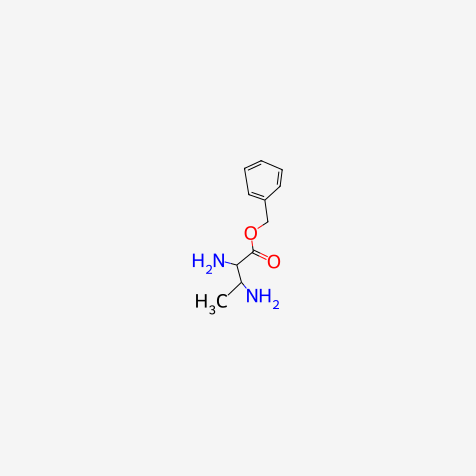 CC(N)C(N)C(=O)OCc1ccccc1